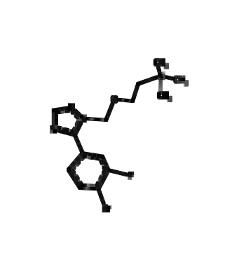 C[Si](C)(C)CCOCn1ncnc1-c1ccc(Br)c(F)c1